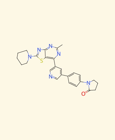 Cc1nc(-c2cncc(-c3ccc(N4CCCC4=O)cc3)c2)c2sc(N3CCCCC3)nc2n1